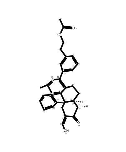 CC(=O)OCCc1cccc(-c2nc(C)nc3c2CC[C@H]2[C@H](C)C(=O)/C(=C\O)C[C@]32c2ccccc2)c1